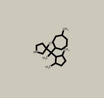 CC1CCCC(C(C)(C2C(C)CCC2C)C2(C)CCNC2)CC1